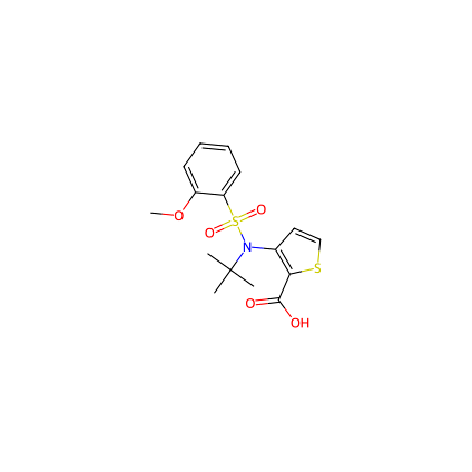 COc1ccccc1S(=O)(=O)N(c1ccsc1C(=O)O)C(C)(C)C